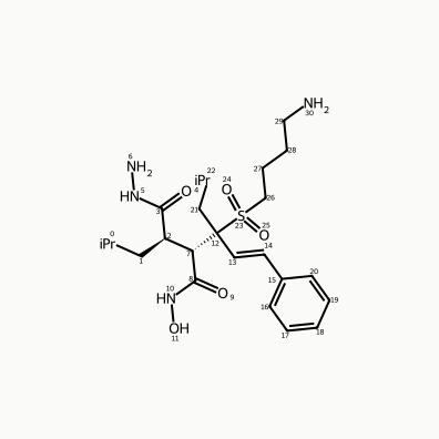 CC(C)C[C@@H](C(=O)NN)[C@@H](C(=O)NO)C(/C=C/c1ccccc1)(CC(C)C)S(=O)(=O)CCCCN